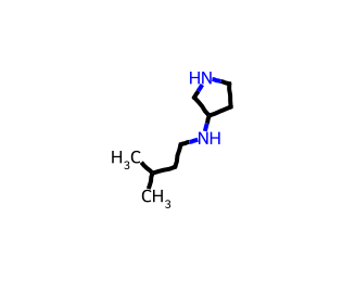 CC(C)CCNC1CCNC1